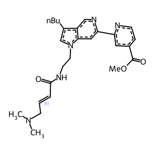 CCCCc1cn(CCNC(=O)/C=C/CN(C)C)c2cc(-c3cc(C(=O)OC)ccn3)ncc12